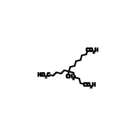 [CH2]C(CCCCCCC(=O)O)(CCCCC(=O)O)CCCCC(=O)O